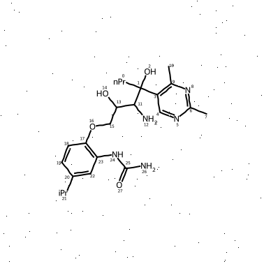 CCCC(O)(c1cnc(C)nc1C)C(N)C(O)COc1ccc(C(C)C)cc1NC(N)=O